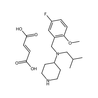 COc1ccc(F)cc1CN(CC(C)C)C1CCNCC1.O=C(O)C=CC(=O)O